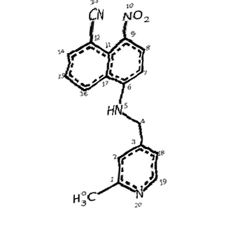 Cc1cc(CNc2ccc([N+](=O)[O-])c3c(C#N)cccc23)ccn1